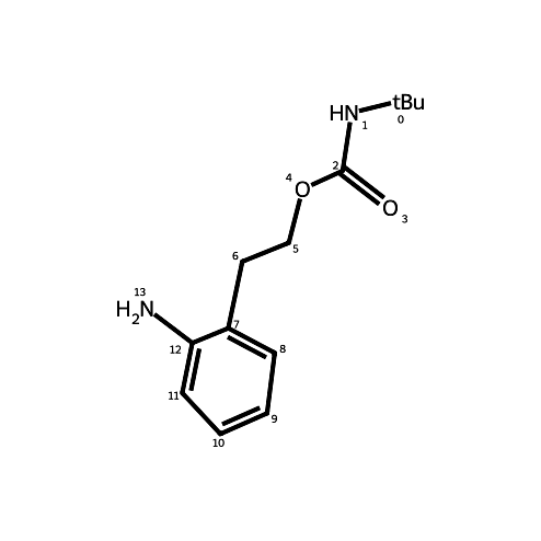 CC(C)(C)NC(=O)OCCc1ccccc1N